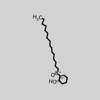 CCCCCCCCCCCCCCCC[S@+]([O-])[C@H]1CCCC[C@@H]1O